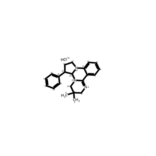 CC1(C)CN=C2c3ccccc3N3CCC(c4ccccc4)C3N2C1.Cl